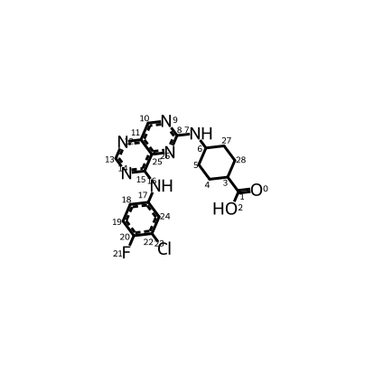 O=C(O)C1CCC(Nc2ncc3ncnc(Nc4ccc(F)c(Cl)c4)c3n2)CC1